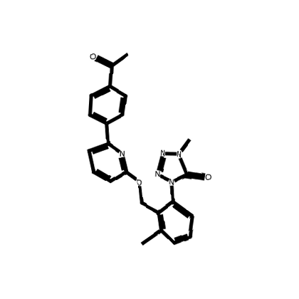 CC(=O)c1ccc(-c2cccc(OCc3c(C)cccc3-n3nnn(C)c3=O)n2)cc1